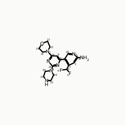 Nc1cc(C(F)F)c(-c2cc(N3CCOCC3)nc(N3CCNCC3)n2)cn1